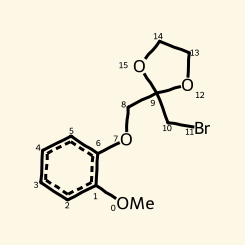 COc1ccccc1OCC1(CBr)OCCO1